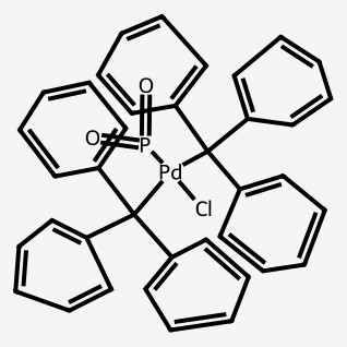 O=[P](=O)[Pd]([Cl])([C](c1ccccc1)(c1ccccc1)c1ccccc1)[C](c1ccccc1)(c1ccccc1)c1ccccc1